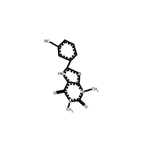 Cn1c(=O)c2[nH]c(-c3cccc(C#N)c3)nc2n(C)c1=O